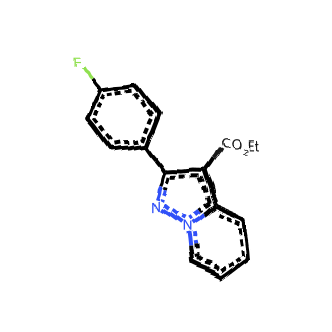 CCOC(=O)c1c(-c2ccc(F)cc2)nn2ccccc12